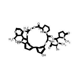 CCn1c(-c2cccnc2[C@H](C)OC)c2c3cc(ccc31)-c1cc(O)cc(c1)C[C@H](NC(=O)[C@H](C(C)C)N(C)C(=O)C1CCC(=O)N1C)C(=O)N1CCC[C@H](N1)C(=O)OCC(C)(C)C2